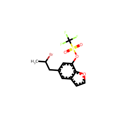 CC(Br)Cc1cc(OS(=O)(=O)C(F)(F)F)c2occc2c1